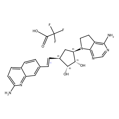 Nc1ccc2ccc(/C=C/[C@H]3C[C@@H](N4CCc5c(N)ncnc54)[C@H](O)[C@@H]3O)cc2n1.O=C(O)C(F)(F)F